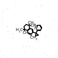 Cc1cc2c(cc1C1(c3ccccn3)CC1)C(C)(C)CCC2(C)C